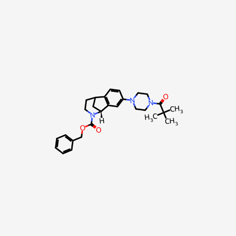 CC(C)(C)C(=O)N1CCN(c2ccc3c(c2)[C@H]2CC3CCN2C(=O)OCc2ccccc2)CC1